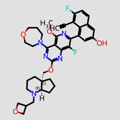 C#Cc1c(F)ccc2cc(O)cc(-c3nc(OC)c4c(N5CCCOCC5)nc(OC[C@]56CCC[C@H]5N(CC5COC5)CCC6)nc4c3F)c12